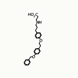 O=C(O)CCNCCCc1ccc(OCCc2ccc(OCc3ccccc3)cc2)cc1